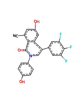 N#Cc1cc(O)cc2c(-c3cc(F)c(F)c(F)c3)cn(-c3ccc(O)cc3)c(=O)c12